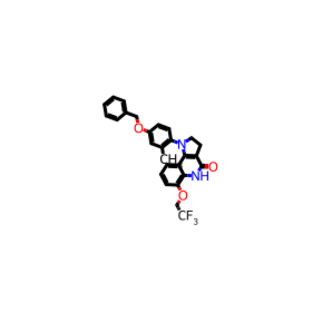 Cc1cc(OCc2ccccc2)ccc1N1CCc2c1c1cccc(OCC(F)(F)F)c1[nH]c2=O